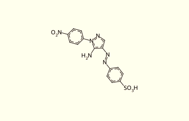 Nc1c(/N=N/c2ccc(S(=O)(=O)O)cc2)cnn1-c1ccc([N+](=O)[O-])cc1